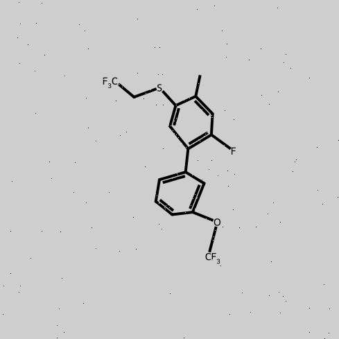 Cc1cc(F)c(-c2cccc(OC(F)(F)F)c2)cc1SCC(F)(F)F